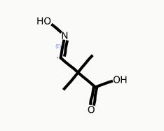 CC(C)(/[C]=N/O)C(=O)O